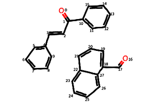 O=C(C=Cc1ccccc1)c1ccccc1.O=Cc1cccc2ccccc12